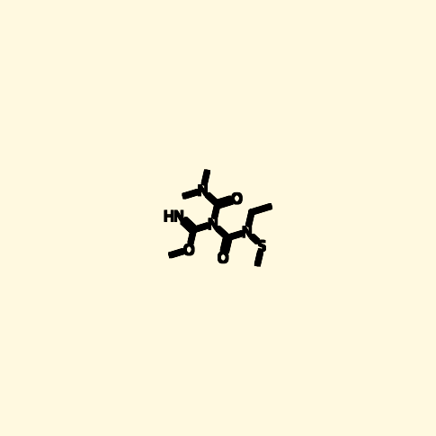 CCN(SC)C(=O)N(C(=N)OC)C(=O)N(C)C